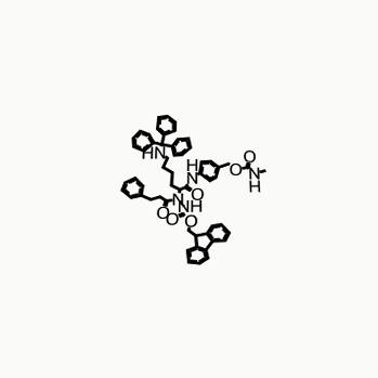 CNC(=O)OCc1ccc(NC(=O)C(CCCCNC(c2ccccc2)(c2ccccc2)c2ccccc2)N(NC(=O)OCC2c3ccccc3-c3ccccc32)C(=O)CCc2ccccc2)cc1